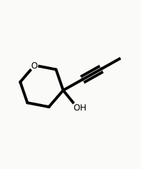 CC#CC1(O)CCCOC1